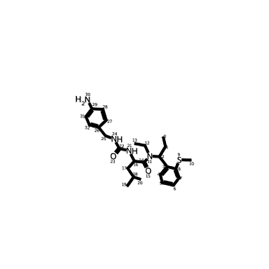 CCC(c1ccccc1SC)N(CC)C(=O)C(CC(C)C)NC(=O)NCc1ccc(N)cc1